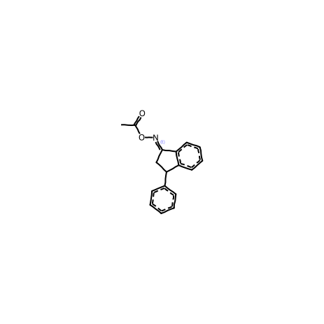 CC(=O)O/N=C1\CC(c2ccccc2)c2ccccc21